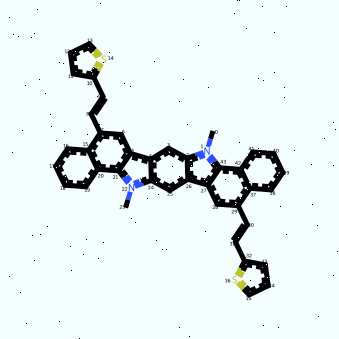 Cn1c2cc3c4cc(/C=C/c5cccs5)c5ccccc5c4n(C)c3cc2c2cc(/C=C/c3cccs3)c3ccccc3c21